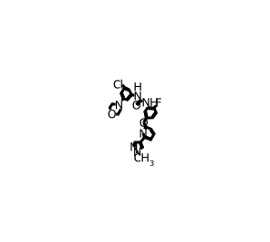 Cn1cc(-c2cccc(Oc3ccc(F)c(NC(=O)Nc4cc(Cl)cc(N5CCOCC5)c4)c3)n2)cn1